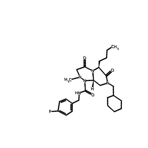 CCCC[C@H]1C(=O)N(CC2CCCCC2)C[C@H]2N1C(=O)CN(C)N2C(=O)NCc1ccc(F)cc1